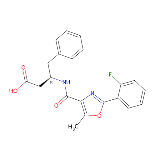 Cc1oc(-c2ccccc2F)nc1C(=O)N[C@@H](CC(=O)O)Cc1ccccc1